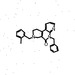 Cc1ccccc1CN1CCc2c(c(=O)n(Cc3ccccc3)c3ncccc23)C1